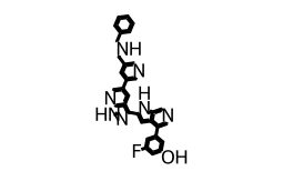 Oc1cc(F)cc(-c2cncc3[nH]c(-c4n[nH]c5ncc(-c6cncc(CNCc7ccccc7)c6)cc45)cc23)c1